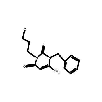 Cc1cc(=O)n(CCCCl)c(=O)n1Cc1ccccc1